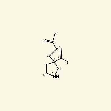 C=C(C)CCC1(C(=C)C)CCNC1